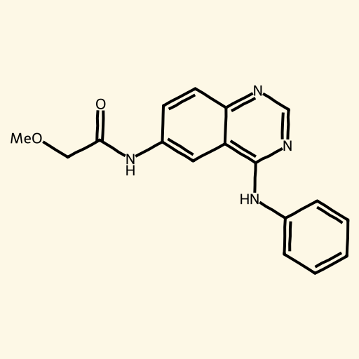 COCC(=O)Nc1ccc2ncnc(Nc3ccccc3)c2c1